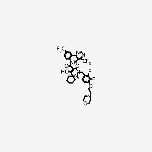 Cc1c(-c2cc(C(F)(F)F)ccc2NC(=O)C2=C(O)C3(CCCCC3)N(C)N(Cc3ccc(OCCN4CCOCC4)c(F)c3F)C2=O)ncnc1C(F)(F)F